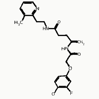 C=C(CCC(=O)NCCc1ncccc1C)NC(=O)COc1ccc(Cl)c(F)c1